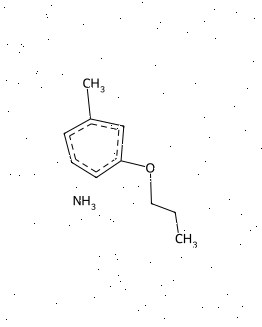 CCCOc1cccc(C)c1.N